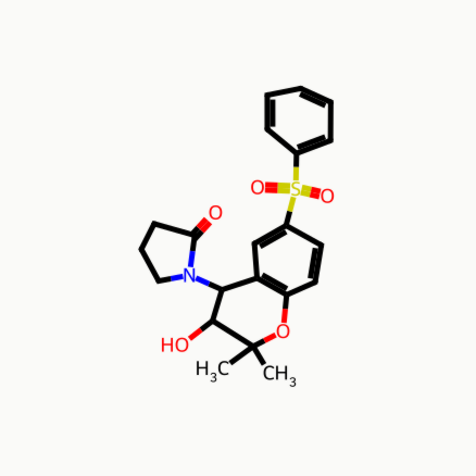 CC1(C)Oc2ccc(S(=O)(=O)c3ccccc3)cc2C(N2CCCC2=O)C1O